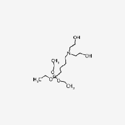 CCO[Si](CCCCN(CCO)CCO)(OCC)OCC